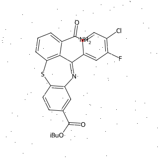 CC(C)COC(=O)c1ccc2c(c1)N=C(c1ccc(Cl)c(F)c1)c1c(cccc1C(N)=O)S2